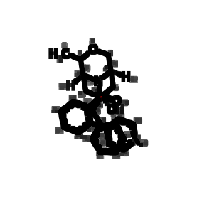 CC1OC[C@@H]2C[C@@](O)(Cc3ccccc3)C[C@H]1N2C(=O)c1ccccc1-c1ccncc1